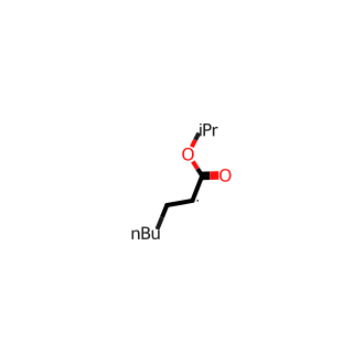 CCCCC[CH]C(=O)OC(C)C